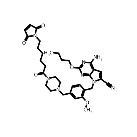 CCCCOc1nc(N)c2cc(C#N)n(Cc3ccc(CN4CCN(C(=O)CCCCCN5C(=O)C=CC5=O)CC4)cc3OC)c2n1